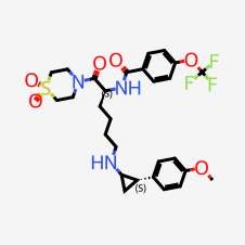 COc1ccc([C@@H]2CC2NCCCC[C@H](NC(=O)c2ccc(OC(F)(F)F)cc2)C(=O)N2CCS(=O)(=O)CC2)cc1